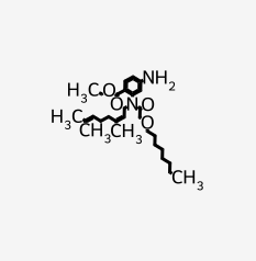 CCCCCCCCOCC(=O)N(CC=C(C)CCC=C(C)C)c1cc(N)ccc1C(=O)OCC